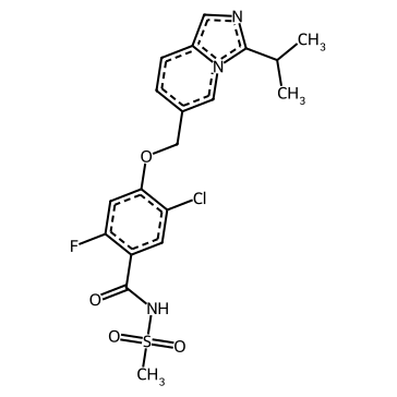 CC(C)c1ncc2ccc(COc3cc(F)c(C(=O)NS(C)(=O)=O)cc3Cl)cn12